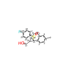 Cc1ccc2c(c1)CCC1C(CO)C21[S+]([O-])c1ccc(F)cc1